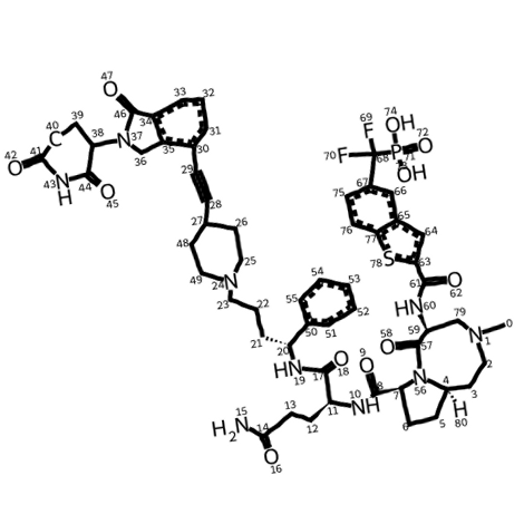 CN1CC[C@H]2CC[C@@H](C(=O)N[C@@H](CCC(N)=O)C(=O)N[C@H](CCCN3CCC(C#Cc4cccc5c4CN(C4CCC(=O)NC4=O)C5=O)CC3)c3ccccc3)N2C(=O)[C@@H](NC(=O)c2cc3cc(C(F)(F)P(=O)(O)O)ccc3s2)C1